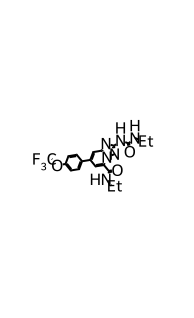 CCNC(=O)Nc1nc2cc(-c3ccc(OC(F)(F)F)cc3)cc(C(=O)NCC)n2n1